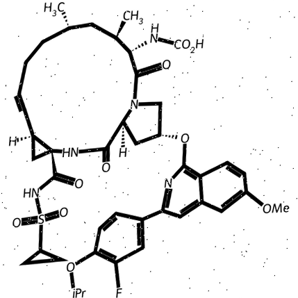 COc1ccc2c(O[C@@H]3C[C@H]4C(=O)N[C@]5(C(=O)NS(=O)(=O)C6CC6)C[C@H]5/C=C\CC[C@H](C)C[C@@H](C)[C@H](NC(=O)O)C(=O)N4C3)nc(-c3ccc(OC(C)C)c(F)c3)cc2c1